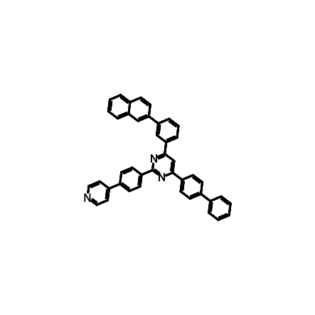 c1ccc(-c2ccc(-c3cc(-c4cccc(-c5ccc6ccccc6c5)c4)nc(-c4ccc(-c5ccncc5)cc4)n3)cc2)cc1